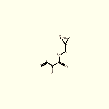 C=CC(C)C(=O)OCC1CO1